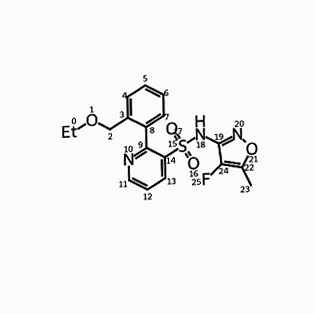 CCOCc1ccccc1-c1ncccc1S(=O)(=O)Nc1noc(C)c1F